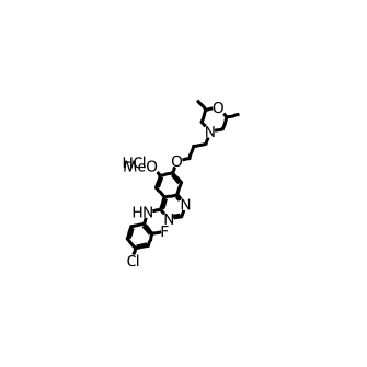 COc1cc2c(Nc3ccc(Cl)cc3F)ncnc2cc1OCCCN1CC(C)OC(C)C1.Cl